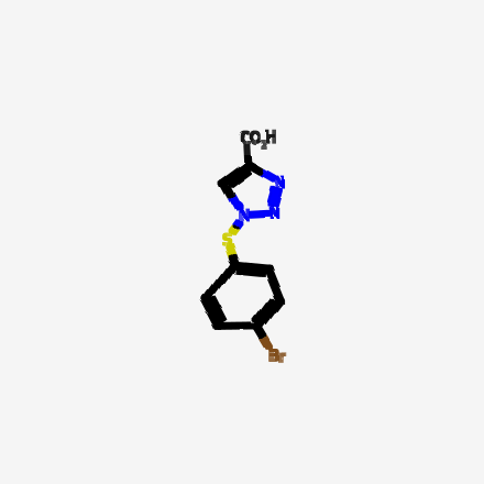 O=C(O)c1cn(Sc2ccc(Br)cc2)nn1